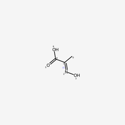 C/C(=N\O)C(=O)O